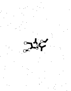 CCO[Si](OC(CCl)CCl)(C(C)C)C(C)C